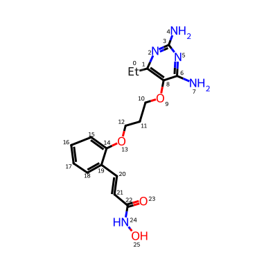 CCc1nc(N)nc(N)c1OCCCOc1ccccc1C=CC(=O)NO